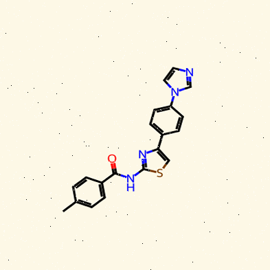 Cc1ccc(C(=O)Nc2nc(-c3ccc(-n4ccnc4)cc3)cs2)cc1